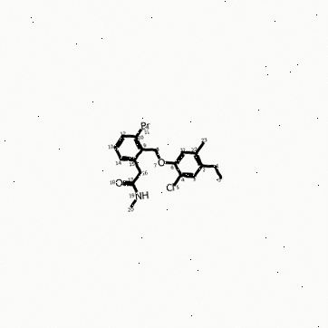 CCc1cc(Cl)c(OCc2c(Br)cccc2CC(=O)NC)cc1C